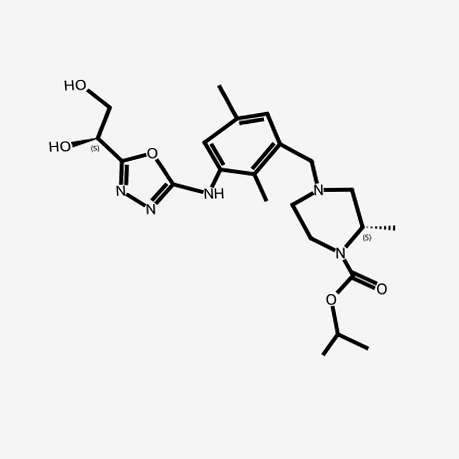 Cc1cc(CN2CCN(C(=O)OC(C)C)[C@@H](C)C2)c(C)c(Nc2nnc([C@@H](O)CO)o2)c1